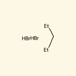 Br.Br.CCCCC